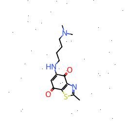 Cc1nc2c(s1)C(=O)C=C(NCCCCN(C)C)C2=O